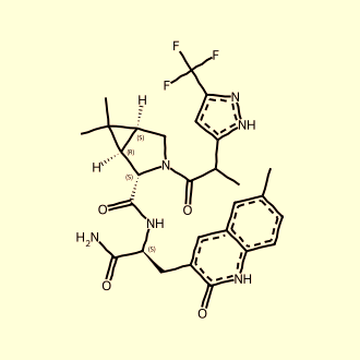 Cc1ccc2[nH]c(=O)c(C[C@H](NC(=O)[C@@H]3[C@@H]4[C@H](CN3C(=O)C(C)c3cc(C(F)(F)F)n[nH]3)C4(C)C)C(N)=O)cc2c1